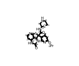 Cc1cc(OC(C)C)ncc1C1(C(=O)NC2CCCNC2)Sc2nccc3c2C1NC(=O)N3